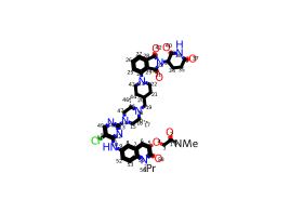 CNC(=O)COc1cc2cc(Nc3nc(N4C[C@@H](C)N(CC5CCN(c6cccc7c6C(=O)N(C6CCC(=O)NC6=O)C7=O)CC5)[C@@H](C)C4)ncc3Cl)ccc2n(C(C)C)c1=O